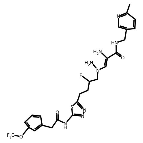 Cc1ccc(CNC(=O)/C(N)=C/N(N)CC(F)CCc2nnc(NC(=O)Cc3cccc(OC(F)(F)F)c3)s2)cn1